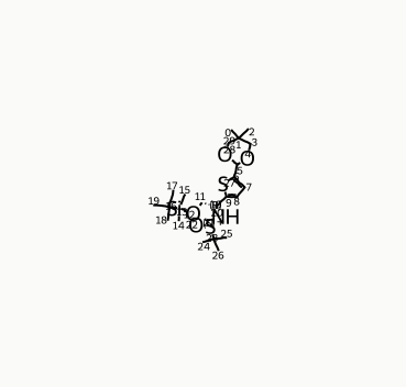 CC1(C)COC(c2ccc([C@@H](CO[Si](C)(C)C(C)(C)C)N[S@+]([O-])C(C)(C)C)s2)OC1